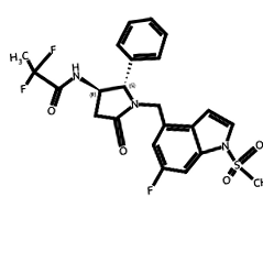 CC(F)(F)C(=O)N[C@@H]1CC(=O)N(Cc2cc(F)cc3c2ccn3S(C)(=O)=O)[C@H]1c1ccccc1